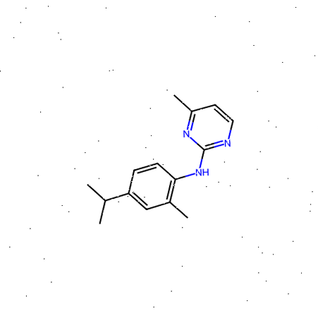 Cc1ccnc(Nc2ccc(C(C)C)cc2C)n1